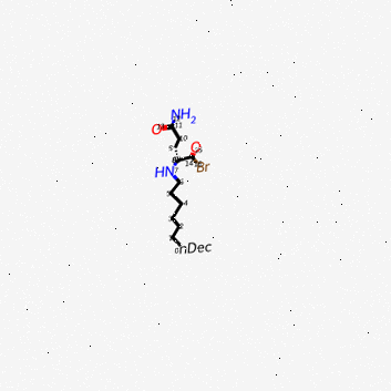 CCCCCCCCCCCCCCCCN[C@H](CCC(N)=O)C(=O)Br